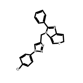 Clc1ccc(-n2cc(Cn3c(-c4ccccc4)nc4c3=CCCC=4)nn2)cc1